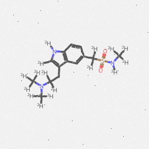 [2H]c1c(CC([2H])([2H])N(C([2H])([2H])[2H])C([2H])([2H])[2H])c2cc(C([2H])([2H])S(=O)(=O)N([2H])C([2H])([2H])[2H])ccc2n1[2H]